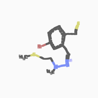 CSCCN(C)/N=C\c1cc(Br)ccc1C=S